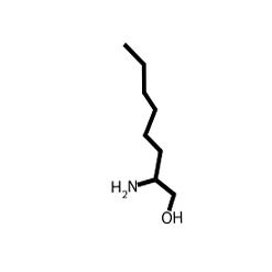 CCCCCCC(N)CO